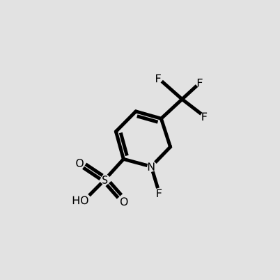 O=S(=O)(O)C1=CC=C(C(F)(F)F)CN1F